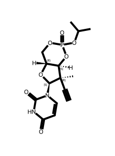 C#C[C@]1(C)[C@@H]2OP(=O)(OC(C)C)OC[C@H]2O[C@@H]1n1ccc(=O)[nH]c1=O